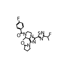 CC(F)c1nsc(-c2nc(N3CCCC3=O)c3n2CCN(C(=O)c2ccc(F)cc2)C3C)n1